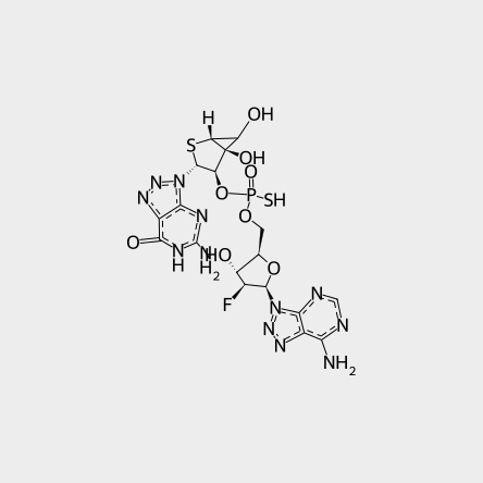 Nc1nc2c(nnn2[C@@H]2S[C@@H]3C(O)[C@]3(O)[C@H]2OP(=O)(S)OC[C@H]2O[C@@H](n3nnc4c(N)ncnc43)[C@@H](F)[C@@H]2O)c(=O)[nH]1